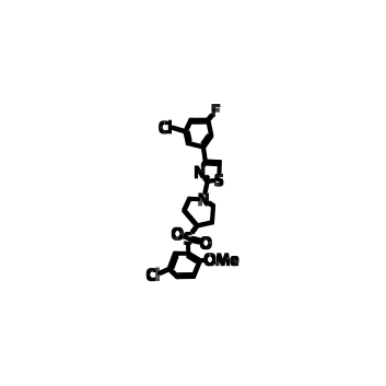 COc1ccc(Cl)cc1S(=O)(=O)C1CCN(c2nc(-c3cc(F)cc(Cl)c3)cs2)CC1